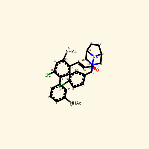 CC(=O)Nc1cccc(-c2cc(/C=C/C(=O)N3C4CCC3CN(Cc3ccc(F)cc3)C4)c(NC(C)=O)cc2Cl)c1